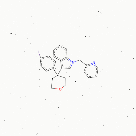 Ic1ccc(C2(c3cn(Cc4ccccn4)c4ccccc34)CCOCC2)cc1